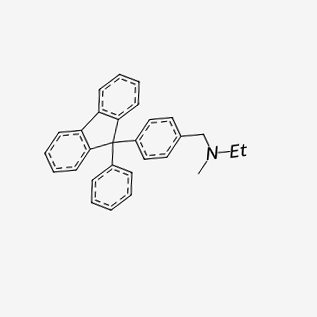 CCN(C)Cc1ccc(C2(c3ccccc3)c3ccccc3-c3ccccc32)cc1